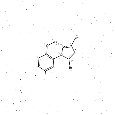 Cc1[c]cc(OC(F)(F)F)c(-n2nc(C(C)C)cc2Br)c1